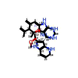 C=C(C)C(C(=C)/C=C1/NC2=C([C@@H]1CCOC)[C@@H](c1c(C)[nH]c3c1NCC=C3)NCN2)C(C)ON